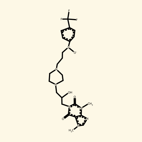 Cn1cnc2c1c(=O)n(CC(O)CN1CCN(CCC[S+]([O-])c3ccc(C(F)(F)F)cc3)CC1)c(=O)n2C